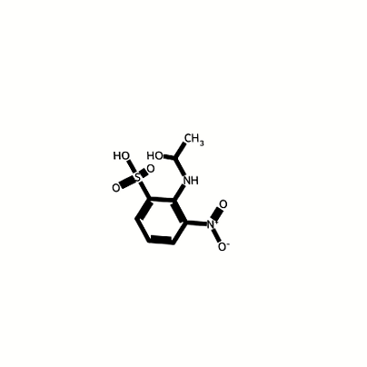 CC(O)Nc1c([N+](=O)[O-])cccc1S(=O)(=O)O